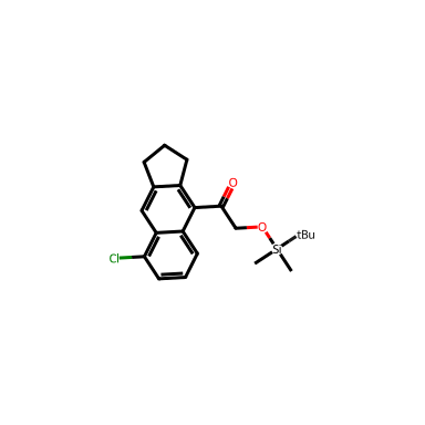 CC(C)(C)[Si](C)(C)OCC(=O)c1c2c(cc3c(Cl)cccc13)CCC2